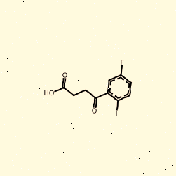 O=C(O)CCC(=O)c1cc(F)ccc1I